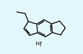 CC[C]1C=Cc2cc3c(cc21)CCC3.[Hf]